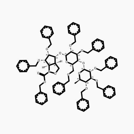 C[C@H]1O[C@H](O[C@H]2[C@H](OCc3ccccc3)[C@@H](OCc3ccccc3)[C@@H](O[C@@H]3[C@H]4CON(C(=O)OCc5ccccc5)[C@H]4[C@H](OCc4ccccc4)[C@@H]3OCc3ccccc3)O[C@@H]2COCc2ccccc2)[C@H](OCc2ccccc2)[C@@H](OCc2ccccc2)[C@@H]1OCc1ccccc1